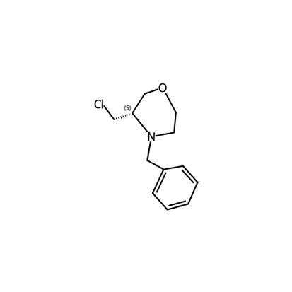 ClC[C@@H]1COCCN1Cc1ccccc1